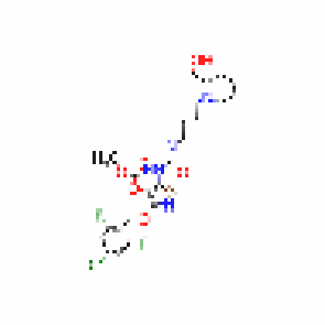 COC(=O)Oc1c(OCc2c(F)cc(Cl)cc2F)nsc1NC(=O)NCCCCN1CCCCC1CO